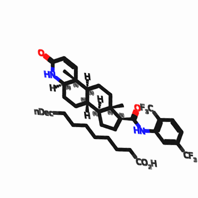 CCCCCCCCCCCCCCCCCC(=O)O.C[C@]12C=CC(=O)N[C@@H]1CC[C@@H]1[C@@H]2CC[C@]2(C)[C@@H](C(=O)Nc3cc(C(F)(F)F)ccc3C(F)(F)F)CC[C@@H]12